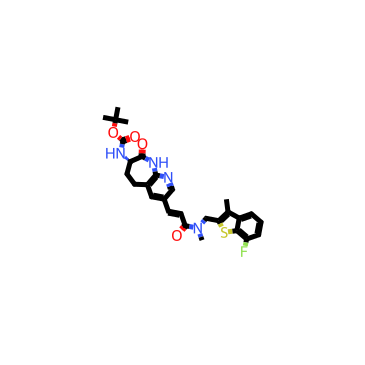 Cc1c(CN(C)C(=O)/C=C/c2cnc3c(c2)CC[C@@H](NC(=O)OC(C)(C)C)C(=O)N3)sc2c(F)cccc12